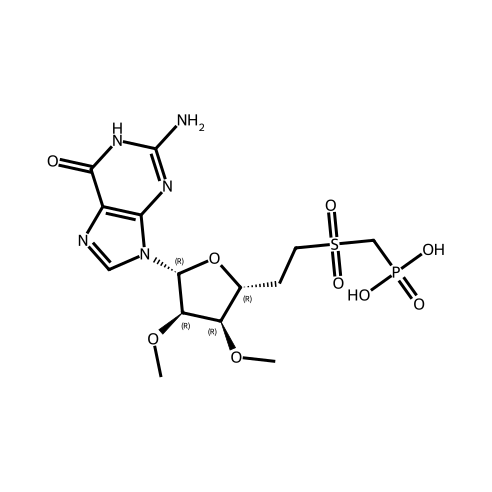 CO[C@@H]1[C@H](OC)[C@@H](CCS(=O)(=O)CP(=O)(O)O)O[C@H]1n1cnc2c(=O)[nH]c(N)nc21